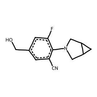 N#Cc1cc(CO)cc(F)c1N1CC2CC2C1